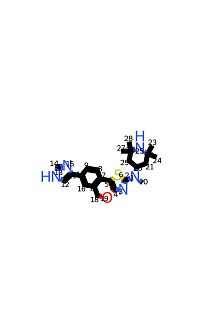 CN(c1nc2c(s1)-c1ccc(-c3c[nH]cn3)cc1CO2)C1CC(C)(C)NC(C)(C)C1